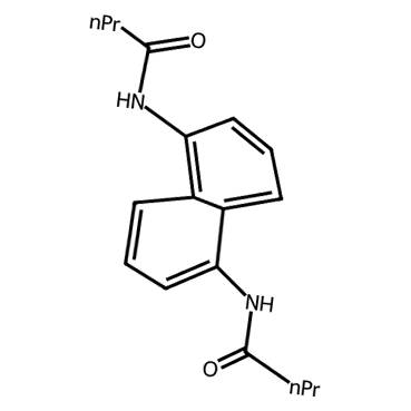 CCCC(=O)Nc1cccc2c(NC(=O)CCC)cccc12